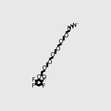 [N-]=[N+]=NCCOCCOCCOCCOCCOCCOCCC(=O)Oc1c(F)c(F)cc(F)c1F